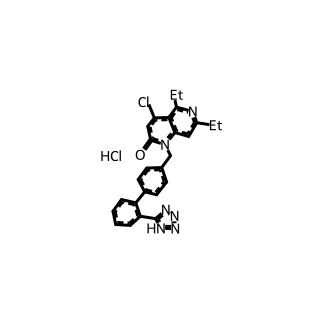 CCc1cc2c(c(Cl)cc(=O)n2Cc2ccc(-c3ccccc3-c3nnn[nH]3)cc2)c(CC)n1.Cl